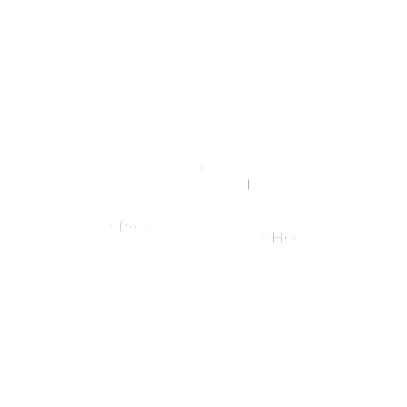 CCCCCCC(C=O)CC(C=O)CC